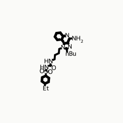 CCCCc1nc2c(N)nc3ccccc3c2n1CCCCNC(=O)NS(=O)(=O)c1ccc(CC)cc1